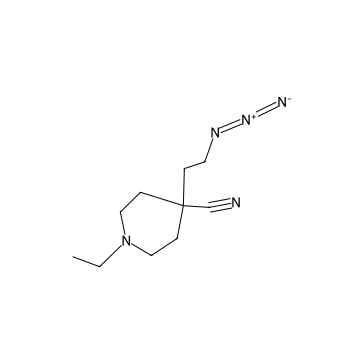 CCN1CCC(C#N)(CCN=[N+]=[N-])CC1